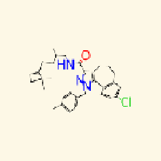 Cc1ccc(Cn2nc(C(=O)NCC(C)CCC3CCC3(C)C)c3c2-c2ccc(Cl)cc2CCC3)cc1